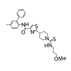 COCCCNC(=S)N1CCC(c2nc(C(=O)Nc3ccc(C)cc3-c3ccccc3)cs2)CC1